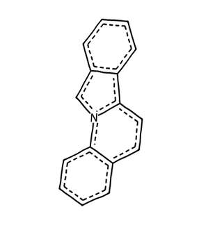 c1ccc2c(c1)cn1c3ccccc3ccc21